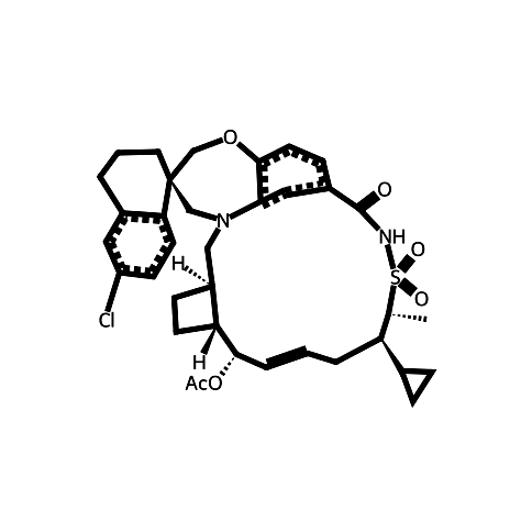 CC(=O)O[C@H]1/C=C/C[C@H](C2CC2)[C@@H](C)S(=O)(=O)NC(=O)c2ccc3c(c2)N(C[C@@H]2CC[C@H]21)C[C@@]1(CCCc2cc(Cl)ccc21)CO3